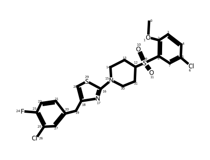 COc1ccc(Cl)cc1S(=O)(=O)C1CCN(c2nc(Cc3ccc(F)c(Cl)c3)cs2)CC1